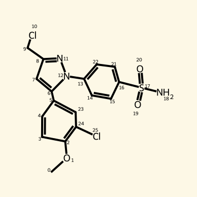 COc1ccc(-c2cc(CCl)nn2-c2ccc(S(N)(=O)=O)cc2)cc1Cl